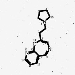 C1=NC=C(CCN2CCCC2)Oc2ncccc21